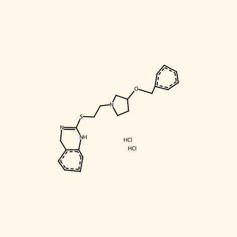 Cl.Cl.c1ccc(COC2CCN(CCSC3=NCc4ccccc4N3)C2)cc1